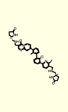 Cc1c(-c2ccn3c(=O)c(CNC[C@@H]4CCC(=O)N4)cnc3c2)cccc1-c1cccc(-c2ccc(CNC[C@H]3CCC(=O)N3)c(F)n2)c1Cl